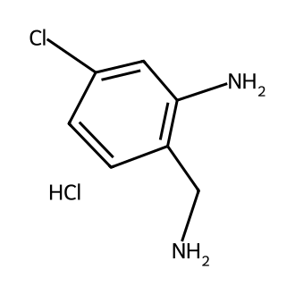 Cl.NCc1ccc(Cl)cc1N